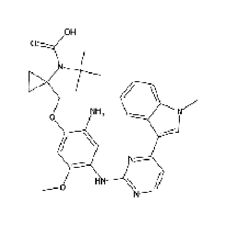 COc1cc(OCC2(N(C(=O)O)C(C)(C)C)CC2)c(N)cc1Nc1nccc(-c2cn(C)c3ccccc23)n1